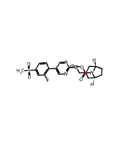 CC(C)(C)OC(=O)N1[C@H]2CC[C@H]1CC(COc1ncc(-c3ccc(S(C)(=O)=O)cc3F)cn1)C2